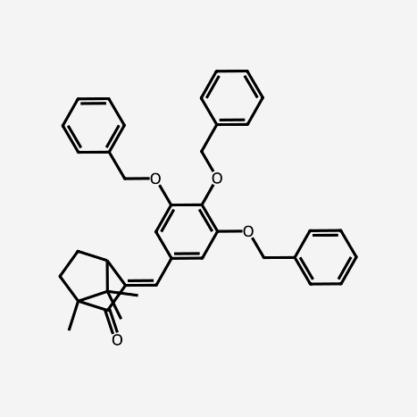 CC12CCC(C(=Cc3cc(OCc4ccccc4)c(OCc4ccccc4)c(OCc4ccccc4)c3)C1=O)C2(C)C